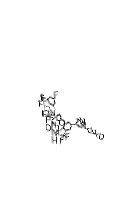 O=C1N[C@]2(CC(F)(F)c3cc(-c4cnn(C5CN(C6COC6)C5)c4)ccc32)C(=O)N1CC(=O)N(Cc1cc(F)cc(F)c1)C1(C(F)(F)F)CC(F)(F)C1